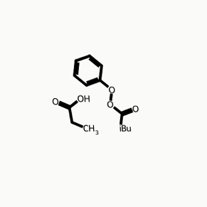 CCC(=O)O.CCC(C)C(=O)OOc1ccccc1